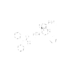 Bc1cnn2c(NCCCN(C)C(=O)C(c3ccccc3)c3ccccc3)cc(C3C=CC=CC3C)nc12